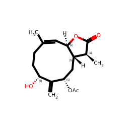 C=C1[C@H](O)CCC(C)=C[C@H]2OC(=O)[C@@H](C)[C@@H]2C[C@@H]1OC(C)=O